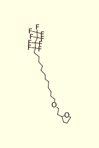 FC(F)(F)C(F)(F)C(F)(F)C(F)(F)CCCCCCCCCCCCOCCC1CCCO1